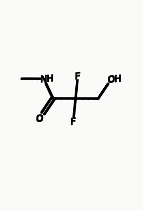 CNC(=O)C(F)(F)CO